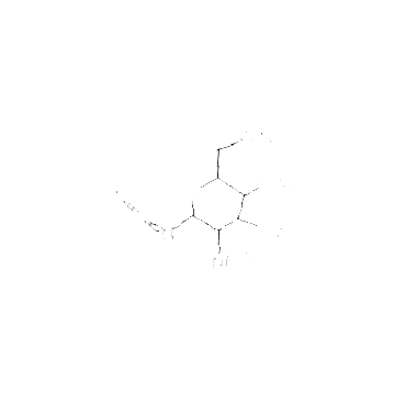 CC(=O)NC1C(N=[N+]=[N-])OC(COC(C)=O)C(OC(C)=O)C1OC(C)=O